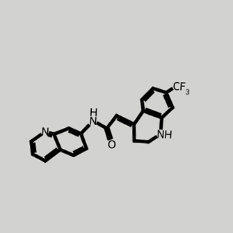 O=C(/C=C1\CCNc2cc(C(F)(F)F)ccc21)Nc1ccc2cccnc2c1